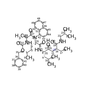 CCCC[C@@H](C(=O)N[C@@H](CC(C)C)[C@@H](O)/C=C(/CC)C(=O)NCC(C)C)N(C(=O)[C@H](C)NC(=O)OCc1ccccc1)c1cccc2ccccc12